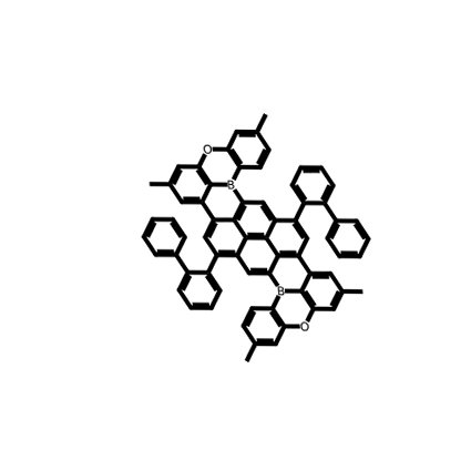 Cc1ccc2c(c1)Oc1cc(C)cc3c1B2c1cc2c(-c4ccccc4-c4ccccc4)cc4c5c(cc6c(-c7ccccc7-c7ccccc7)cc-3c1c6c25)B1c2ccc(C)cc2Oc2cc(C)cc-4c21